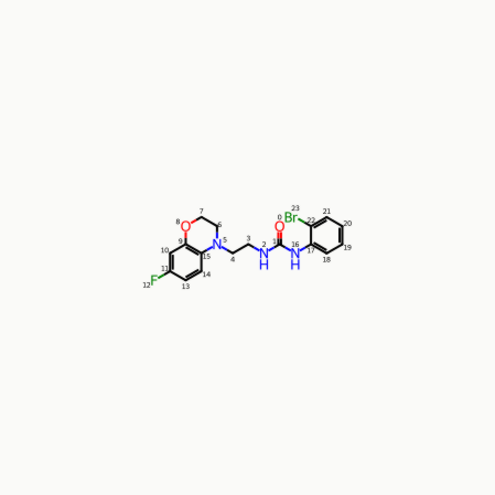 O=C(NCCN1CCOc2cc(F)ccc21)Nc1ccccc1Br